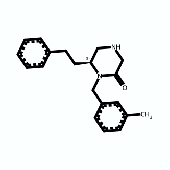 Cc1cccc(CN2C(=O)CNC[C@@H]2CCc2ccccc2)c1